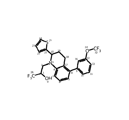 OC(CN1c2cccc(-c3cccc(OC(F)(F)F)c3)c2CCC1c1cccs1)C(F)(F)F